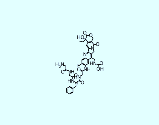 CC[C@@]1(O)C(=O)OCc2c1cc1n(c2=O)Cc2c-1nc1cc(F)c(NC(=O)CNC(=O)[C@H](Cc3ccccc3)NC(=O)CNC(=O)CN)cc1c2CNC(=O)O